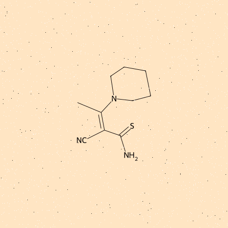 CC(=C(C#N)C(N)=S)N1CCCCC1